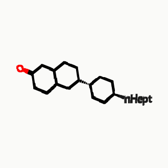 CCCCCCC[C@H]1CC[C@H](C2CCC3CC(=O)CCC3C2)CC1